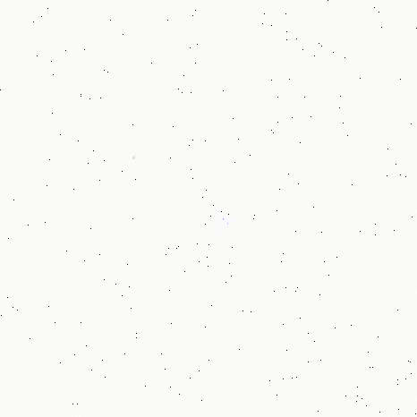 CC1(C)CCC(C)(C)c2cc(-c3cccc(N(c4cccc(-c5cccc6c5-c5ccccc5[Si]6(c5ccccc5)c5ccccc5)c4)c4ccc5c(c4)sc4ccccc45)c3)ccc21